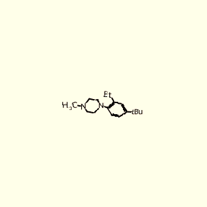 CCc1cc(C(C)(C)C)ccc1N1CCN(C)CC1